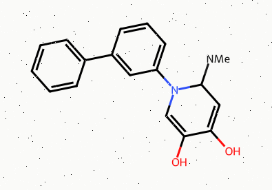 CNC1C=C(O)C(O)=CN1c1cccc(-c2ccccc2)c1